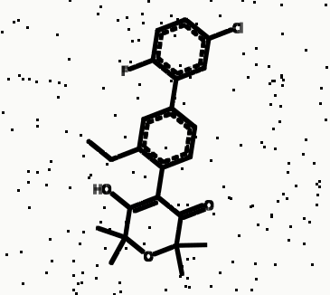 CCc1cc(-c2cc(Cl)ccc2F)ccc1C1=C(O)C(C)(C)OC(C)(C)C1=O